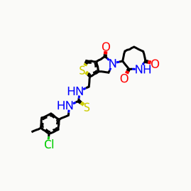 Cc1ccc(CNC(=S)NCc2scc3c2CN(C2CCCC(=O)NC2=O)C3=O)cc1Cl